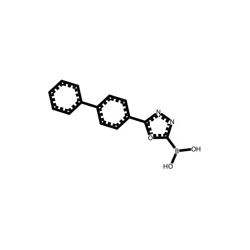 OB(O)c1nnc(-c2ccc(-c3ccccc3)cc2)o1